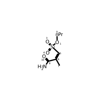 CCCOS(=O)(=O)C=C(C)C(N)=O